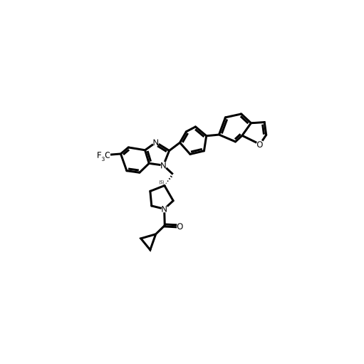 O=C(C1CC1)N1CC[C@H](Cn2c(-c3ccc(-c4ccc5ccoc5c4)cc3)nc3cc(C(F)(F)F)ccc32)C1